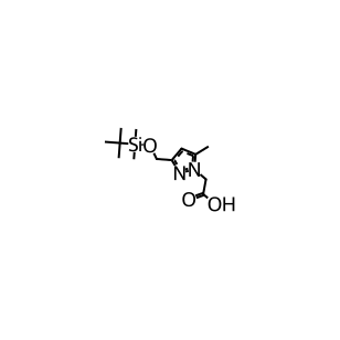 Cc1cc(CO[Si](C)(C)C(C)(C)C)nn1CC(=O)O